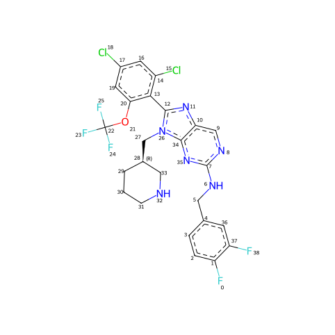 Fc1ccc(CNc2ncc3nc(-c4c(Cl)cc(Cl)cc4OC(F)(F)F)n(C[C@@H]4CCCNC4)c3n2)cc1F